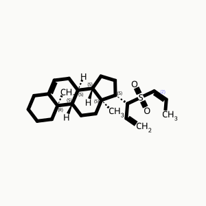 C=CC([C@H]1CC[C@H]2[C@@H]3CC=C4CCCC[C@]4(C)[C@H]3CC[C@]12C)S(=O)(=O)/C=C\C